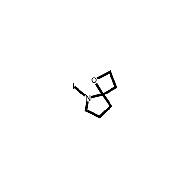 IN1CCCC12CCO2